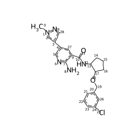 Cn1cc(-c2cnc(N)c(C(=O)NC3CCCC3OCc3cccc(Cl)c3)c2)cn1